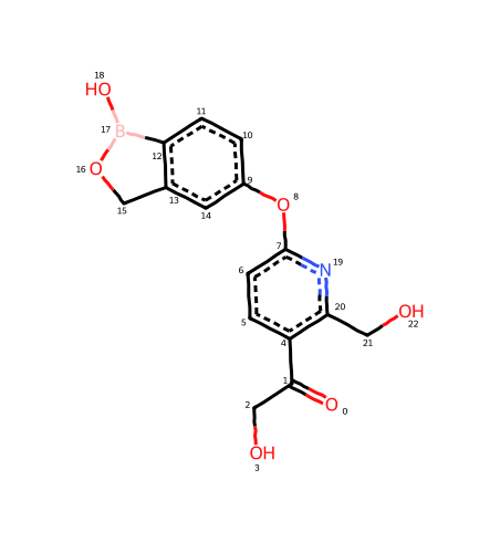 O=C(CO)c1ccc(Oc2ccc3c(c2)COB3O)nc1CO